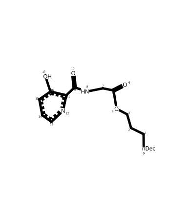 CCCCCCCCCCCCCOC(=O)CNC(=O)c1ncccc1O